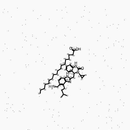 CC(C)CCc1c(CN)ccc2[nH]c(CC3c4ccccc4NC(=O)N3C3CC3)nc12.CCCCCCCCCCCCCCCCCC(=O)O